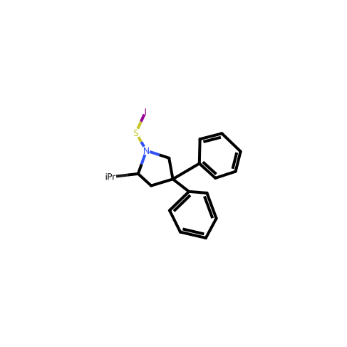 CC(C)C1CC(c2ccccc2)(c2ccccc2)CN1SI